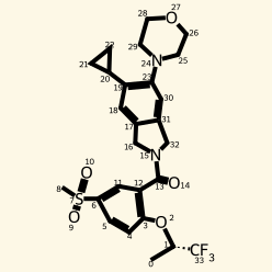 C[C@H](Oc1ccc(S(C)(=O)=O)cc1C(=O)N1Cc2cc(C3CC3)c(N3CCOCC3)cc2C1)C(F)(F)F